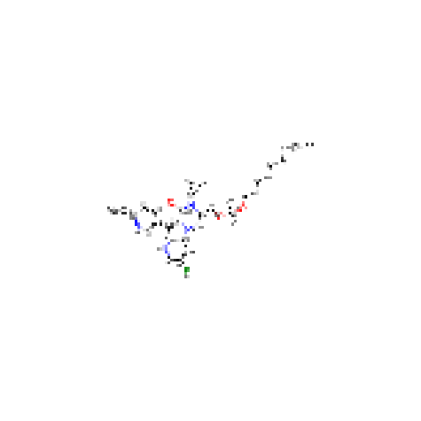 CCCCCCCCCCCCCCCCCOC(C)(C)OCC1Cn2c(c(-c3ccc(OC)nc3)c3ncc(F)cc32)C(=O)N1C1CC1